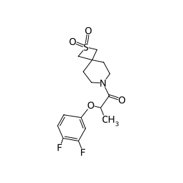 CC(Oc1ccc(F)c(F)c1)C(=O)N1CCC2(CC1)CS(=O)(=O)C2